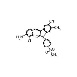 Cc1cc2c(cc1C#N)C(=Cc1ccc(N)c(Cl)n1)C(=O)N2c1ccc(S(C)(=O)=O)cc1